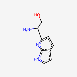 NC(CO)c1ccc2cc[nH]c2n1